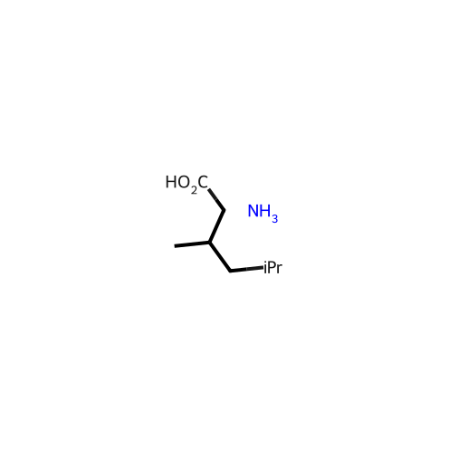 CC(C)CC(C)CC(=O)O.N